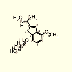 COc1cccc2sc(C(=N)N)cc12.Cl.O.O.O.O.O